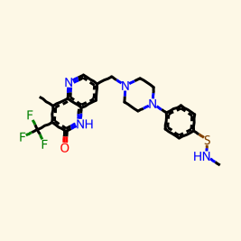 CNSc1ccc(N2CCN(Cc3cnc4c(C)c(C(F)(F)F)c(=O)[nH]c4c3)CC2)cc1